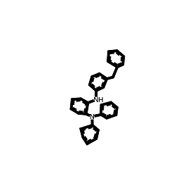 c1ccc(Cc2cccc(Nc3ccccc3N(c3ccccc3)c3ccccc3)c2)cc1